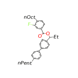 CCCCCCCCc1ccc(C(=O)OC(CC)c2ccc(-c3ccc(CCCCC)cc3)cc2)cc1F